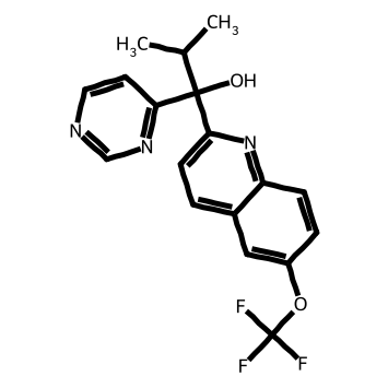 CC(C)C(O)(c1ccncn1)c1ccc2cc(OC(F)(F)F)ccc2n1